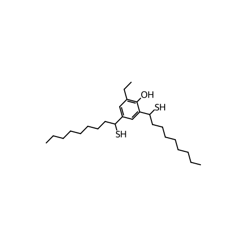 CCCCCCCCC(S)c1cc(CC)c(O)c(C(S)CCCCCCCC)c1